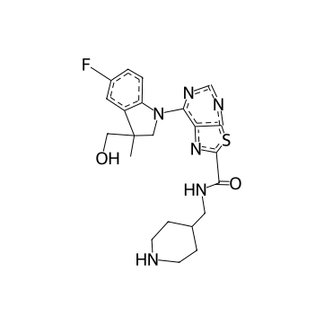 CC1(CO)CN(c2ncnc3sc(C(=O)NCC4CCNCC4)nc23)c2ccc(F)cc21